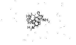 NC1=NC(=O)/C(=C2\CCNC(=O)c3[nH]c4c(N)cccc4c32)N1